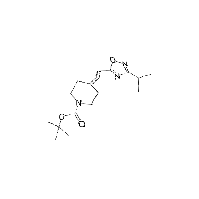 CC(C)c1noc(C=C2CCN(C(=O)OC(C)(C)C)CC2)n1